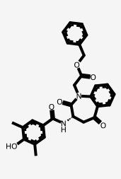 Cc1cc(C(=O)N[C@H]2CC(=O)c3ccccc3N(CC(=O)OCc3ccccc3)C2=O)cc(C)c1O